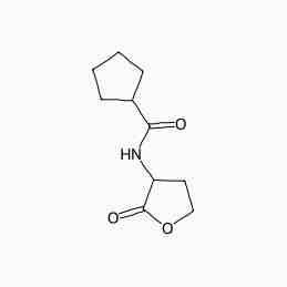 O=C(NC1CCOC1=O)C1CCCC1